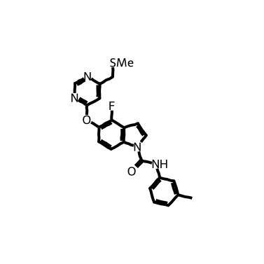 CSCc1cc(Oc2ccc3c(ccn3C(=O)Nc3cccc(C)c3)c2F)ncn1